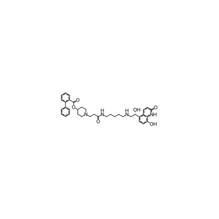 O=C(CCN1CCC(OC(=O)c2ccccc2-c2ccccc2)CC1)NCCCCCNC[C@H](O)c1ccc(O)c2[nH]c(=O)ccc12